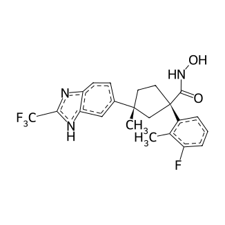 Cc1c(F)cccc1[C@]1(C(=O)NO)CC[C@@](C)(c2ccc3nc(C(F)(F)F)[nH]c3c2)C1